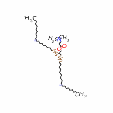 CCCCCCCC/C=C\CCCCCCCCSSCC(COC(=O)CCN(C)C)SSCCCCCCCC/C=C\CCCCCCCC